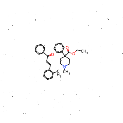 CCOC(=O)C1(c2ccccc2)CCN(C)CC1.Cc1ccccc1C=CC(=O)c1ccccc1